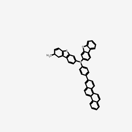 CC1C=Cc2sc3cc(N(c4ccc(-c5ccc6c(ccc7c8ccccc8ccc67)c5)cc4)c4ccc5c(c4)oc4ccccc45)ccc3c2C1